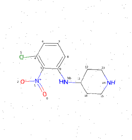 O=[N+]([O-])c1c(Cl)cccc1NC1CCNCC1